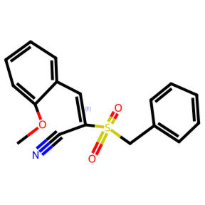 COc1ccccc1/C=C(\C#N)S(=O)(=O)Cc1ccccc1